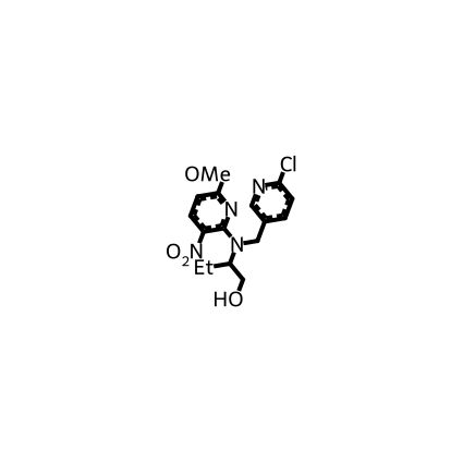 CCC(CO)N(Cc1ccc(Cl)nc1)c1nc(OC)ccc1[N+](=O)[O-]